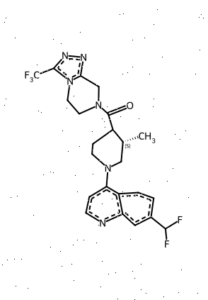 C[C@@H]1CN(c2ccnc3cc(C(F)F)ccc23)CCC1C(=O)N1CCn2c(nnc2C(F)(F)F)C1